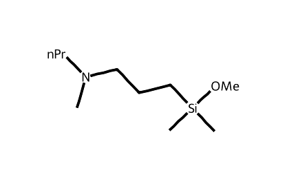 CCCN(C)CCC[Si](C)(C)OC